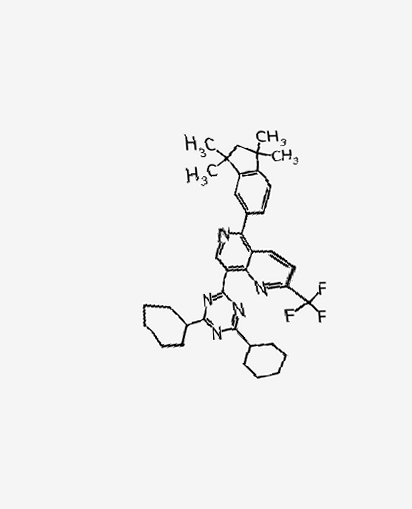 CC1(C)CC(C)(C)c2cc(-c3ncc(-c4nc(C5CCCCC5)nc(C5CCCCC5)n4)c4nc(C(F)(F)F)ccc34)ccc21